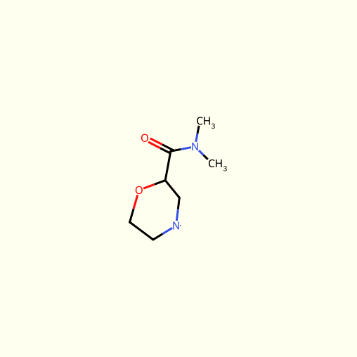 CN(C)C(=O)C1C[N]CCO1